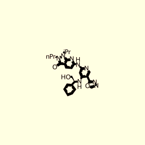 CCCn1c(=O)c2ccc(Nc3cc(N[C@H](CO)c4ccccc4)c(-c4nnco4)cn3)nc2n1C(C)C